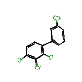 Clc1cccc(-c2ccc(Cl)c(Cl)c2Cl)c1